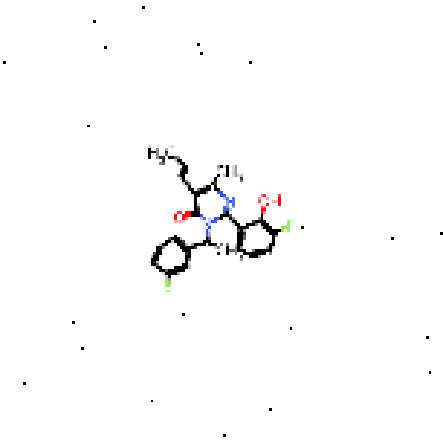 CC=Cc1c(C)nc(-c2cccc(F)c2O)n(C(C)c2cccc(F)c2)c1=O